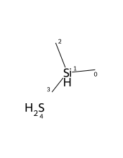 C[SiH](C)C.S